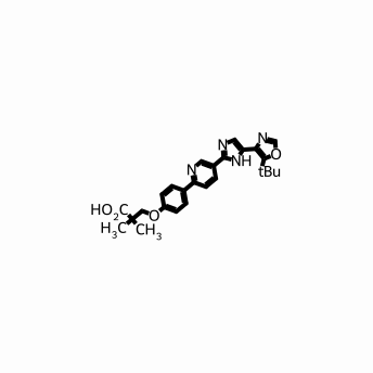 CC(C)(COc1ccc(-c2ccc(-c3ncc(-c4ncoc4C(C)(C)C)[nH]3)cn2)cc1)C(=O)O